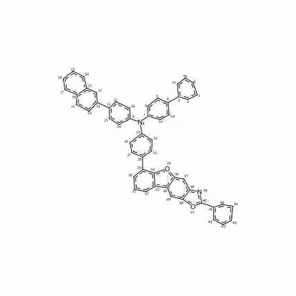 c1ccc(-c2ccc(N(c3ccc(-c4ccc5ccccc5c4)cc3)c3ccc(-c4cccc5c4oc4cc6nc(-c7ccccc7)oc6cc45)cc3)cc2)cc1